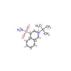 CC(C)(C)[n+]1cc(S(N)(=O)=O)c2ccccc2c1